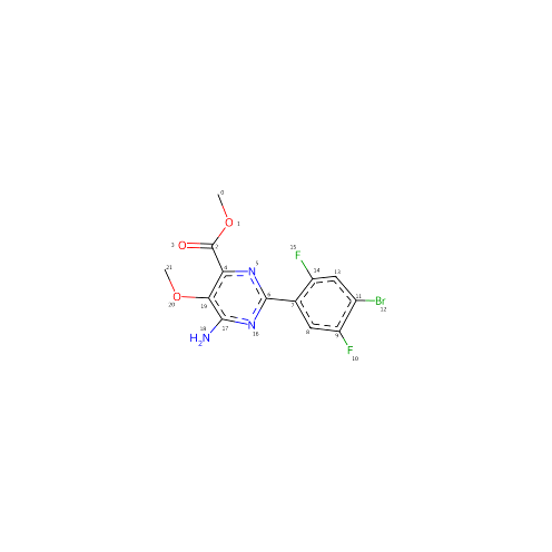 COC(=O)c1nc(-c2cc(F)c(Br)cc2F)nc(N)c1OC